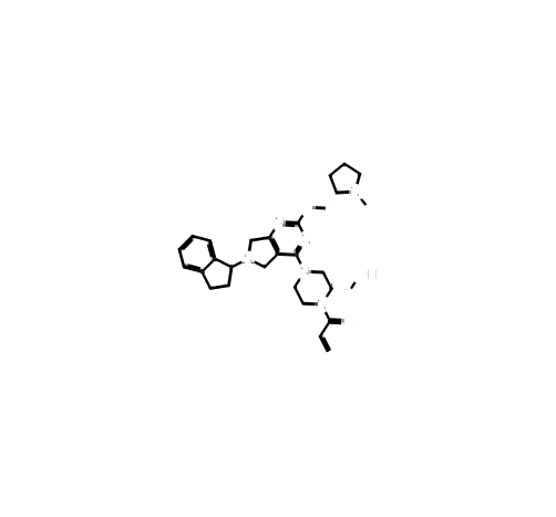 C=CC(=O)N1CCN(c2nc(OC[C@@H]3CCCN3C)nc3c2CN(C2CCc4ccccc42)C3)C[C@@H]1CO